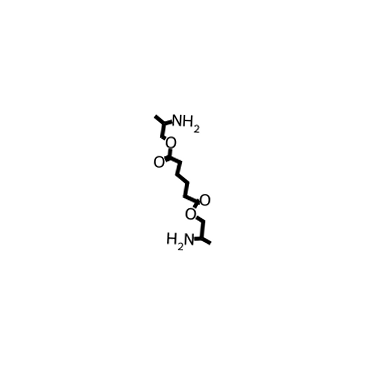 CC(N)COC(=O)CCCCC(=O)OCC(C)N